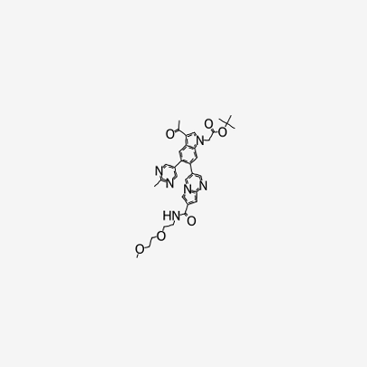 COCCOCCNC(=O)c1cc2ncc(-c3cc4c(cc3-c3cnc(C)nc3)c(C(C)=O)cn4CC(=O)OC(C)(C)C)cn2c1